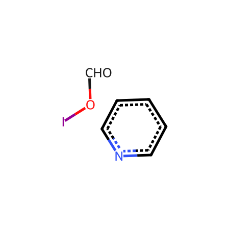 O=COI.c1ccncc1